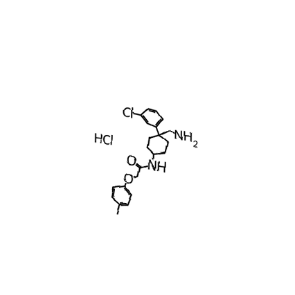 Cc1ccc(OCC(=O)NC2CCC(CN)(c3cccc(Cl)c3)CC2)cc1.Cl